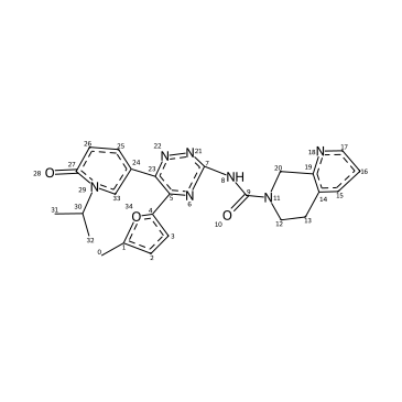 Cc1ccc(-c2nc(NC(=O)N3CCc4cccnc4C3)nnc2-c2ccc(=O)n(C(C)C)c2)o1